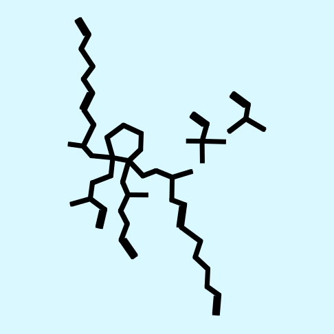 C=CC(C)(C)C.C=CC(C)C.C=CCCCC=CCC(C)CC1(CCC(C)C=C)CCCCC1(CCC(C)CC=CCCCCC=C)CC(C)CCC=C